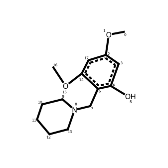 COc1[c]c(O)c(CN2CCCCC2)c(OC)c1